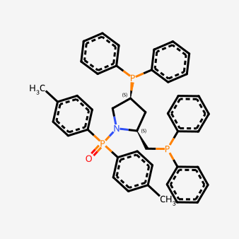 Cc1ccc(P(=O)(c2ccc(C)cc2)N2C[C@@H](P(c3ccccc3)c3ccccc3)C[C@H]2CP(c2ccccc2)c2ccccc2)cc1